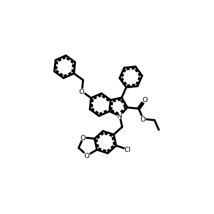 CCOC(=O)c1c(-c2ccccc2)c2cc(OCc3ccccc3)ccc2n1Cc1cc2c(cc1Cl)OCO2